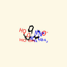 Nc1c2ncn([C@]3(Cc4ccccc4)O[C@H](CO)[C@@H](O)[C@H]3O)c2nc[n+]1[O-]